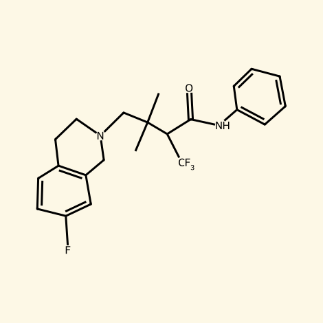 CC(C)(CN1CCc2ccc(F)cc2C1)C(C(=O)Nc1ccccc1)C(F)(F)F